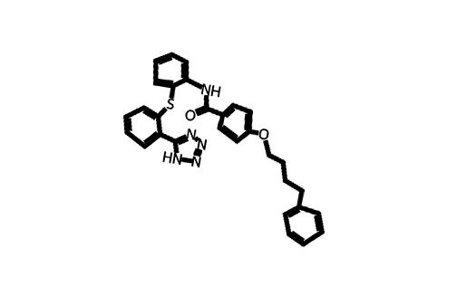 O=C(Nc1ccccc1Sc1ccccc1-c1nnn[nH]1)c1ccc(OCCCCc2ccccc2)cc1